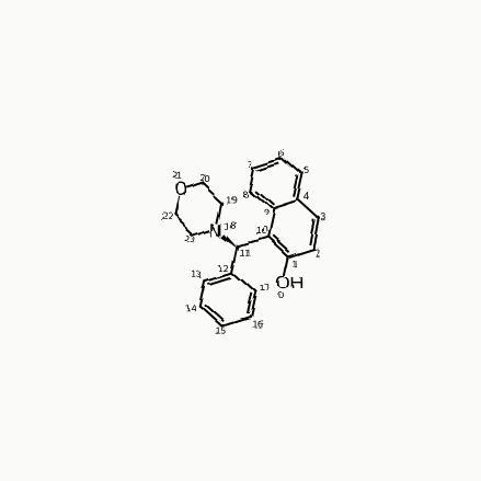 Oc1ccc2ccccc2c1[C@@H](c1ccccc1)N1CCOCC1